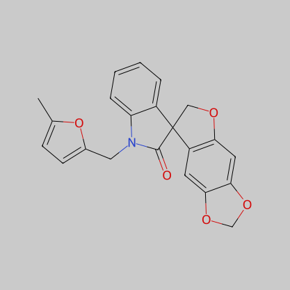 Cc1ccc(CN2C(=O)C3(COc4cc5c(cc43)OCO5)c3ccccc32)o1